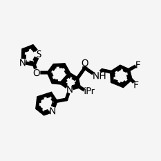 CC(C)c1c(C(=O)NCc2ccc(F)c(F)c2)c2ccc(Oc3nccs3)cc2n1Cc1ccccn1